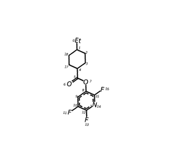 CCC1CCC(C(=O)Oc2cc(F)c(F)nc2F)CC1